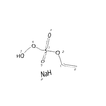 C=COS(=O)(=O)OO.[NaH]